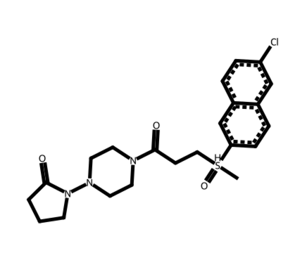 C[SH](=O)(CCC(=O)N1CCN(N2CCCC2=O)CC1)c1ccc2cc(Cl)ccc2c1